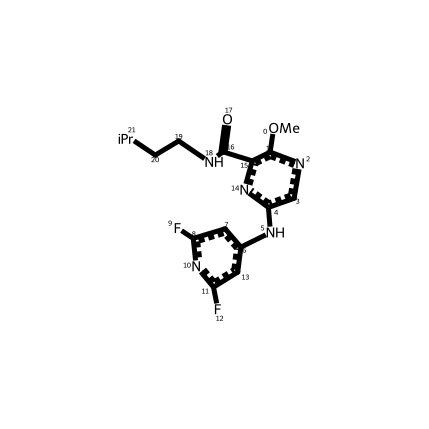 COc1ncc(Nc2cc(F)nc(F)c2)nc1C(=O)NCCC(C)C